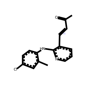 CC(=O)/C=C/c1cccnc1Nc1ccc(Cl)cc1C